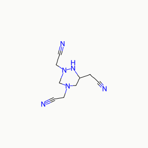 N#CCC1CN(CC#N)CN(CC#N)N1